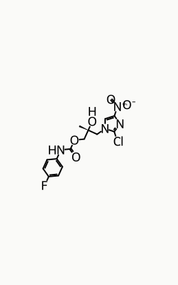 C[C@](O)(COC(=O)Nc1ccc(F)cc1)Cn1cc([N+](=O)[O-])nc1Cl